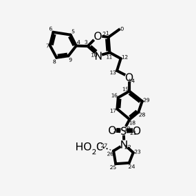 Cc1oc(-c2ccccc2)nc1CCOc1ccc(S(=O)(=O)N2CCC[C@@H]2C(=O)O)cc1